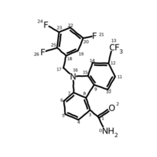 NC(=O)c1cccc2c1c1[c]cc(C(F)(F)F)cc1n2Cc1cc(F)cc(F)c1F